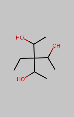 CCC(C(C)O)(C(C)O)C(C)O